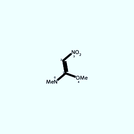 CNC(=C[N+](=O)[O-])OC